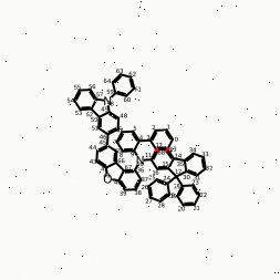 c1ccc(-c2ccccc2N(c2ccc3c(c2)C(c2ccccc2)(c2ccccc2)c2ccccc2-3)c2cccc3oc4ccc(-c5ccc6c(c5)c5ccccc5n6-c5ccccc5)cc4c23)cc1